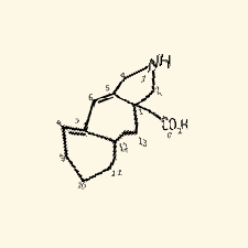 O=C(O)C12CNCC1=CC1=CCCCC1C2